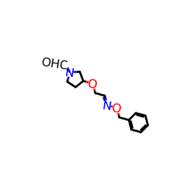 O=CN1CCC(OC/C=N/OCc2ccccc2)C1